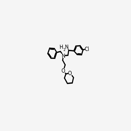 N[C@@H](CN(CCOC1CCCCO1)Cc1ccccc1)c1ccc(Cl)cc1